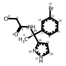 C[C@@](NC(=O)CCl)(c1cccc(Br)c1)c1cc[nH]n1